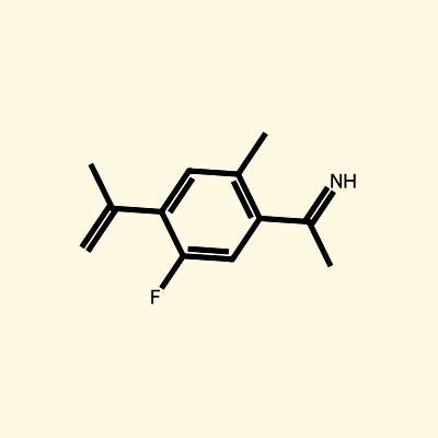 C=C(C)c1cc(C)c(C(C)=N)cc1F